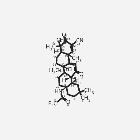 CC1(C)CC[C@]2(NC(=O)C(F)(F)F)CC[C@]3(C)[C@H](C(=O)C=C4[C@@]5(C)C=C(C#N)C(=O)C(C)(C)[C@@H]5CC[C@]43C)[C@@H]2C1